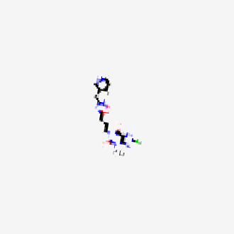 CCCCn1c(=O)n(CCCc2nc(Cc3cccnc3)no2)c(=O)c2[nH]c(Cl)nc21